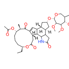 CC[C@H]1CCC[C@H](OC(C)=O)[C@@H](C)C(=O)C2=C[C@H]3[C@@H]4C[C@H](O[C@@H]5OCC(C)[C@H](OC)C(OC)C5OC)C[C@H]4C4CC(=O)NC4[C@H]3[C@@H]2CC(=O)O1